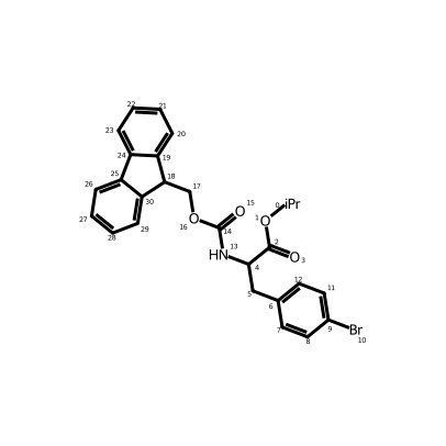 CC(C)OC(=O)C(Cc1ccc(Br)cc1)NC(=O)OCC1c2ccccc2-c2ccccc21